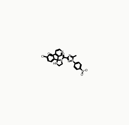 Cc1nc(C(=O)N2CCNC2(c2ccc(Cl)cc2)c2cnccc2C=O)nn1-c1ccc([N+](=O)[O-])cc1